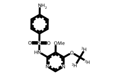 [2H]C([2H])([2H])Oc1ncnc(NS(=O)(=O)c2ccc(N)cc2)c1OC